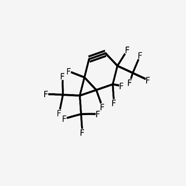 FC(F)(F)C1(F)C#CC2(F)C(F)(C1(F)F)C2(C(F)(F)F)C(F)(F)F